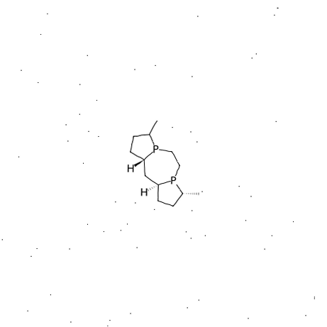 CC1CC[C@H]2C[C@@H]3CC[C@@H](C)P3CCP12